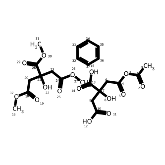 CC(=O)OC(=O)CC(O)(CC(=O)O)C(=O)O.COC(=O)CC(O)(CC(=O)OC)C(=O)OC.c1ccccc1